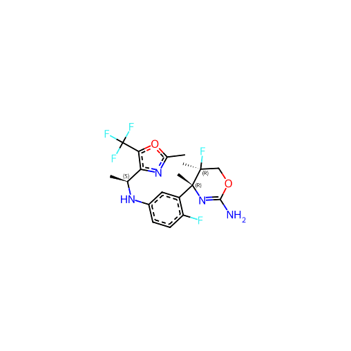 Cc1nc([C@H](C)Nc2ccc(F)c([C@@]3(C)N=C(N)OC[C@]3(C)F)c2)c(C(F)(F)F)o1